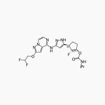 CC(C)NC(=O)O[C@@H]1CC[C@H](c2cc(Nc3nccn4nc(OCC(F)F)cc34)n[nH]2)[C@H]1F